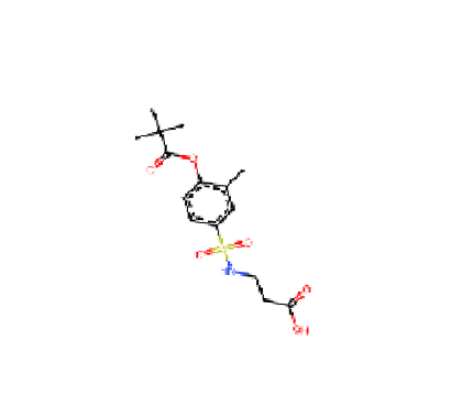 Cc1cc(S(=O)(=O)NCCC(=O)O)ccc1OC(=O)C(C)(C)C